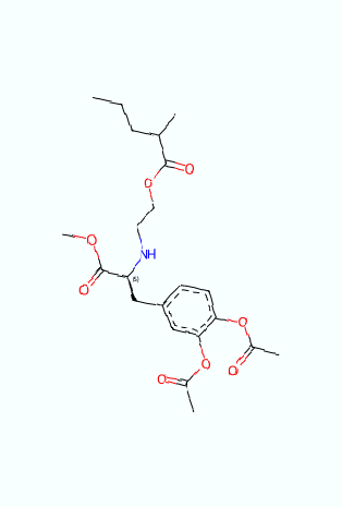 CCCC(C)C(=O)OCCN[C@@H](Cc1ccc(OC(C)=O)c(OC(C)=O)c1)C(=O)OC